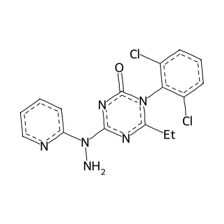 CCc1nc(N(N)c2ccccn2)nc(=O)n1-c1c(Cl)cccc1Cl